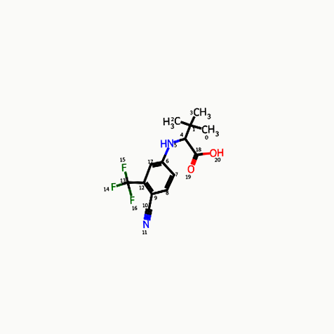 CC(C)(C)C(Nc1ccc(C#N)c(C(F)(F)F)c1)C(=O)O